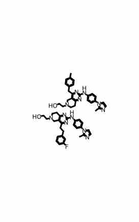 Cc1ccc(Cc2nc(Nc3ccc(-n4ccnc4C)cc3)nc3c2CN(CCO)CC3)cc1.Cc1nccn1-c1ccc(Nc2nc(CCc3cccc(F)c3)c3c(n2)CCN(CCO)C3)cc1